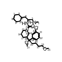 CNCC(CC1CCCCC1)NC(=O)N1CCCC(C(CCCCOC)(OC)c2cccc(Cl)c2)C1